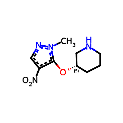 Cn1ncc([N+](=O)[O-])c1O[C@H]1CCCNC1